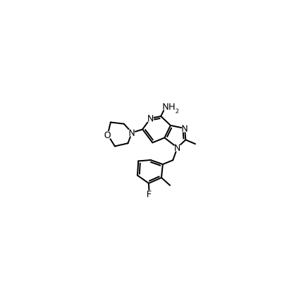 Cc1c(F)cccc1Cn1c(C)nc2c(N)nc(N3CCOCC3)cc21